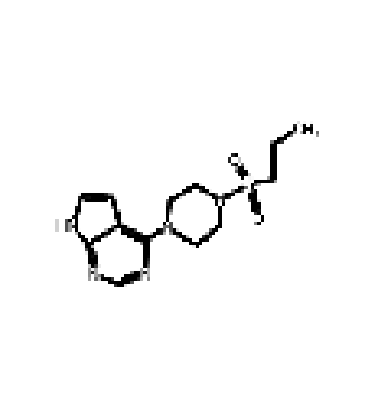 CCCS(=O)(=O)N1CCN(c2ncnc3[nH]ccc23)CC1